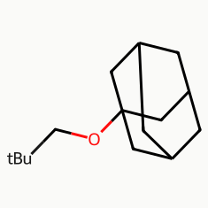 CC(C)(C)COC12CC3CC(CC(C3)C1)C2